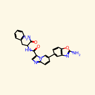 NC(=O)C(Cc1ccccc1)NC(=O)c1cnc2ccc(-c3ccc4oc(N)nc4c3)cn12